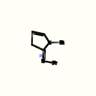 CCN1C=CC/C1=N/C(C)C